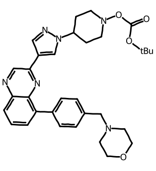 CC(C)(C)OC(=O)ON1CCC(n2cc(-c3cnc4cccc(-c5ccc(CN6CCOCC6)cc5)c4n3)cn2)CC1